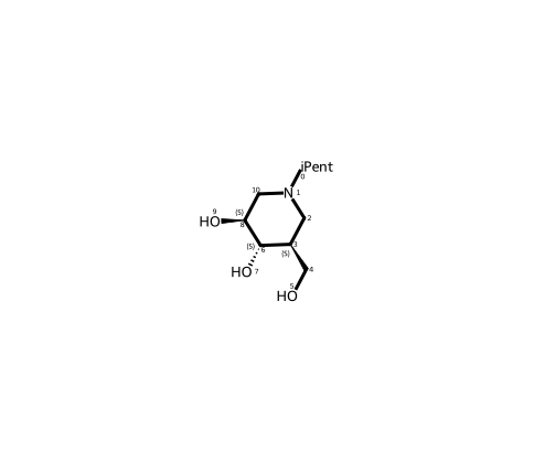 CCCC(C)N1C[C@@H](CO)[C@H](O)[C@@H](O)C1